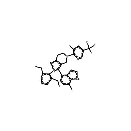 CCc1cccc(CC)c1-n1nc2c(c1-c1ccc(C)c3[nH]ccc13)CN(c1ncc(C(F)(F)F)cc1F)CC2